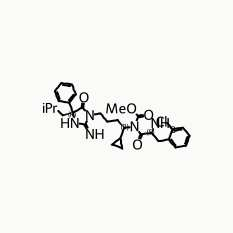 COC(=O)N(C(=O)[C@@H](N)Cc1ccccc1Cl)[C@H](CCCN1C(=N)N[C@](CC(C)C)(c2ccccc2)C1=O)C1CC1